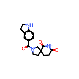 O=C1CCC2(CCN(C(=O)c3ccc4c(c3)CCN4)C2)C(=O)N1